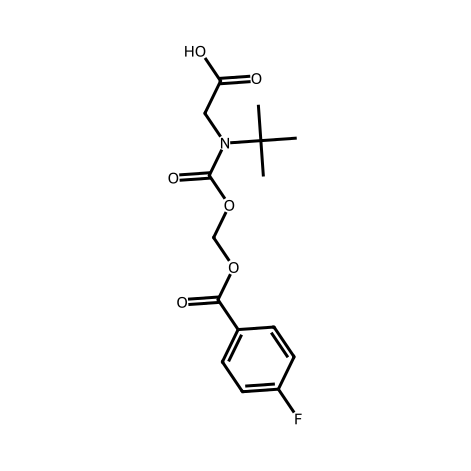 CC(C)(C)N(CC(=O)O)C(=O)OCOC(=O)c1ccc(F)cc1